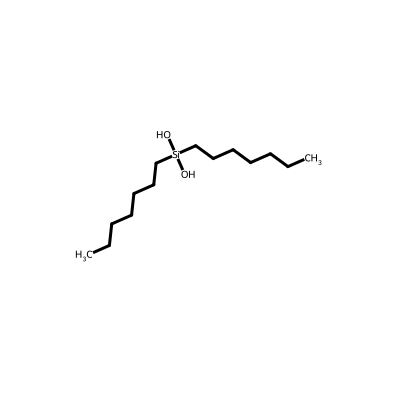 CCCCCCC[Si](O)(O)CCCCCCC